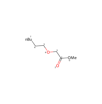 [CH2]OC(=O)COCCCCCC